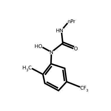 CCCNC(=O)N(O)c1cc(C(F)(F)F)ccc1C